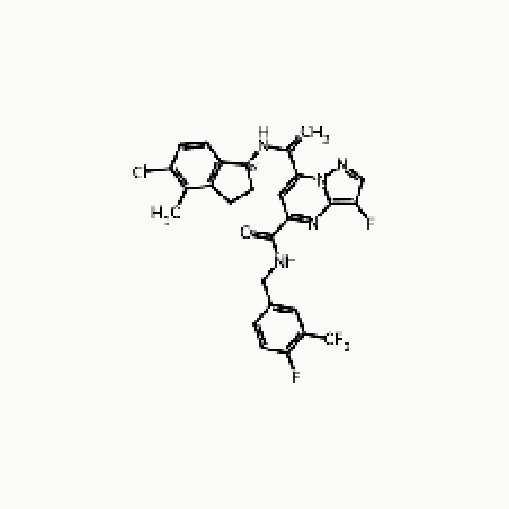 C=C(N[C@H]1CCc2c1ccc(Cl)c2C)c1cc(C(=O)NCc2ccc(F)c(C(F)(F)F)c2)nc2c(F)cnn12